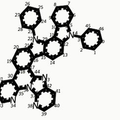 c1ccc(-n2c3ccccc3c3c2ccc2c4c5c(ccc4n(-c4ccccc4)c23)c2cccnc2n2c3ncccc3nc52)cc1